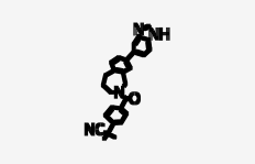 CC(C)(C#N)c1ccc(C(=O)N2CCCc3ccc(-c4ccc5[nH]cnc5c4)cc3C2)cc1